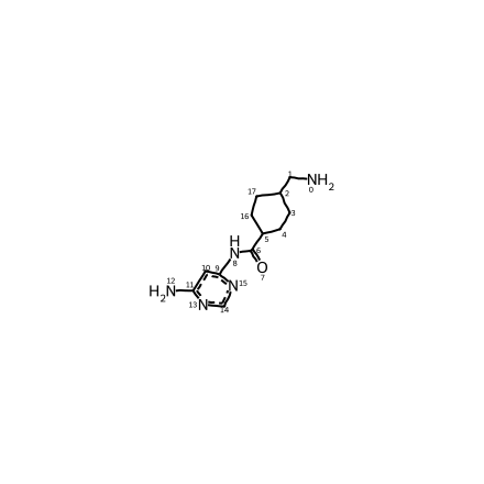 NCC1CCC(C(=O)Nc2cc(N)ncn2)CC1